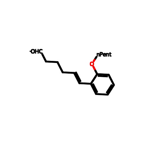 CCCCCOc1ccccc1/C=C/CCC[C]=O